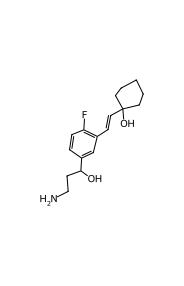 NCCC(O)c1ccc(F)c(/C=C/C2(O)CCCCC2)c1